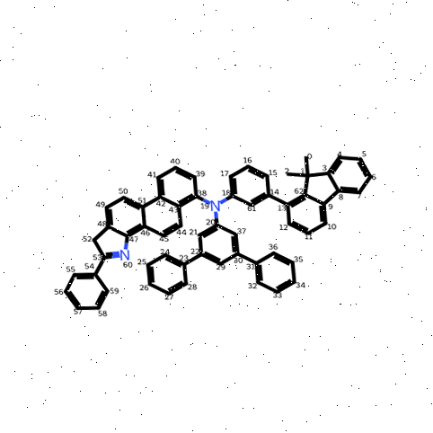 CC1(C)c2ccccc2-c2cccc(-c3cccc(N(c4cc(-c5ccccc5)cc(-c5ccccc5)c4)c4cccc5c4ccc4c6c(ccc45)CC(c4ccccc4)=N6)c3)c21